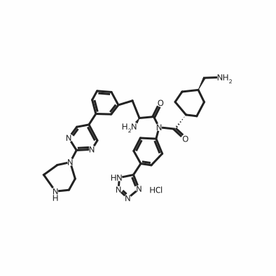 Cl.NC[C@H]1CC[C@H](C(=O)N(C(=O)[C@@H](N)Cc2cccc(-c3cnc(N4CCNCC4)nc3)c2)c2ccc(-c3nnn[nH]3)cc2)CC1